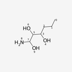 CCCC(O)C(O)C(N)O